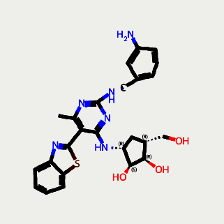 Cc1nc(NCc2cccc(N)c2)nc(N[C@@H]2C[C@H](CO)[C@@H](O)[C@H]2O)c1-c1nc2ccccc2s1